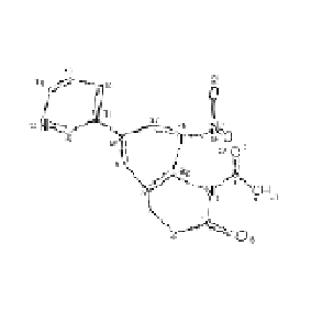 CC(=O)N1C(=O)CCc2cc(-c3cccnc3)cc([N+](=O)[O-])c21